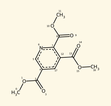 COC(=O)c1cnc(C(=O)OC)c(C(=O)OC)c1